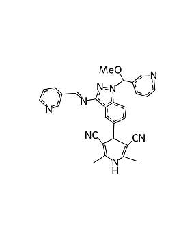 COC(c1cccnc1)n1nc(N=Cc2cccnc2)c2cc(C3C(C#N)=C(C)NC(C)=C3C#N)ccc21